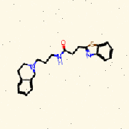 O=C(CCc1nc2ccccc2s1)NCCCN1CCc2ccccc2C1